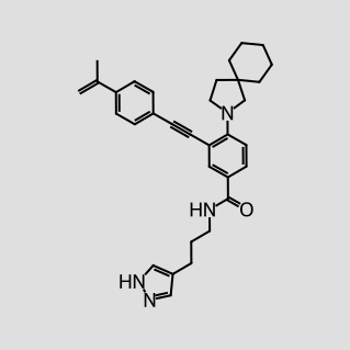 C=C(C)c1ccc(C#Cc2cc(C(=O)NCCCc3cn[nH]c3)ccc2N2CCC3(CCCCC3)C2)cc1